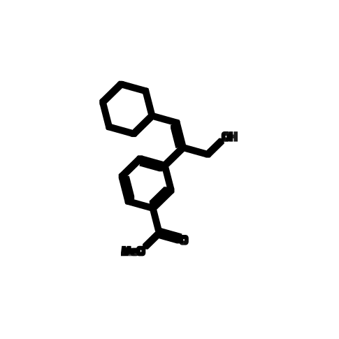 COC(=O)c1cccc(/C(=C\C2CCCCC2)CO)c1